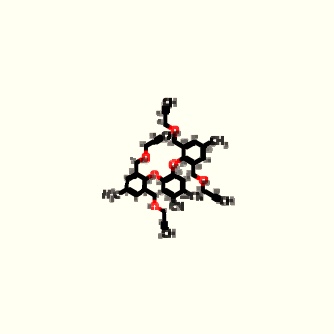 C#CCOCc1cc(C)cc(COCC#C)c1Oc1cc(C#N)c(C#N)cc1Oc1c(COCC#C)cc(C)cc1COCC#C